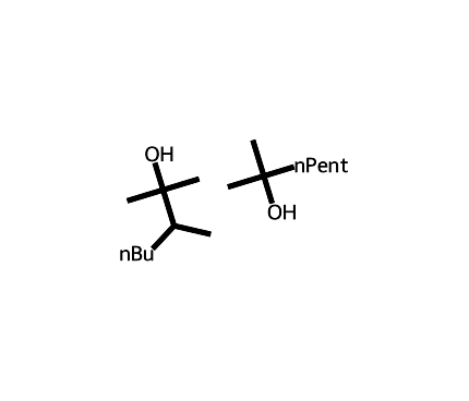 CCCCC(C)C(C)(C)O.CCCCCC(C)(C)O